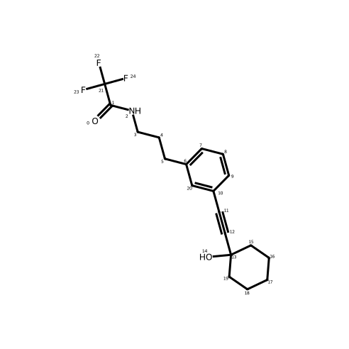 O=C(NCCCc1cccc(C#CC2(O)CCCCC2)c1)C(F)(F)F